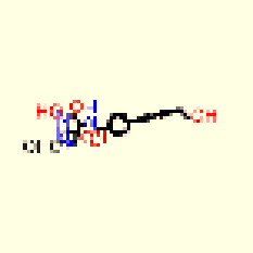 O=CN1CC(O)(C(NC(=O)c2ccc(C#CC#CCCO)cc2)C(=O)NO)C1